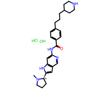 CN1CCC[C@@H]1c1cc2cnc(NC(=O)c3ccc(CCCC4CCNCC4)cc3)cc2[nH]1.Cl.Cl